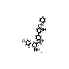 Nc1cc(-c2ccc(F)cc2F)cc(-n2cnc3cc(C4=CNC(OCc5ccccc5)C=C4)ccc32)c1